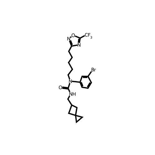 O=C(NCC1CC2(CC2)C1)N(CCCCCc1noc(C(F)(F)F)n1)c1cccc(Br)c1